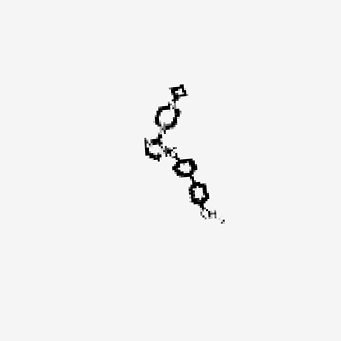 Cc1ccc(-c2ccc(SN3CCN=C3N3CCN(C4CCC4)CC3)cc2)cc1